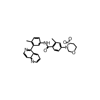 Cc1cc(N2COCCS2(=O)=O)ccc1C(=O)Nc1ccc(C)c(-c2nccc3ncccc23)c1